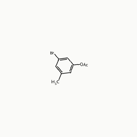 CC(=O)Oc1cc(C)cc(Br)c1